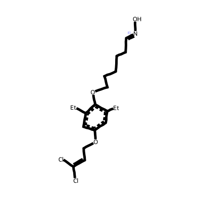 CCc1cc(OCC=C(Cl)Cl)cc(CC)c1OCCCCC/C=N/O